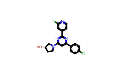 O[C@H]1CCN(c2cc(-c3ccc(Cl)cc3)nc(-c3ccnc(F)c3)n2)C1